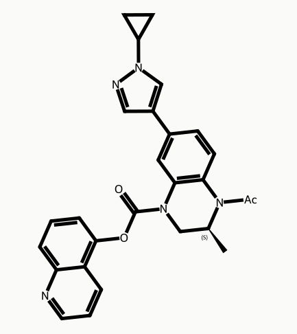 CC(=O)N1c2ccc(-c3cnn(C4CC4)c3)cc2N(C(=O)Oc2cccc3ncccc23)C[C@@H]1C